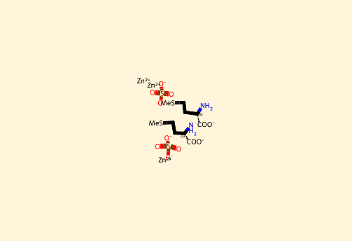 CSCC[C@H](N)C(=O)[O-].CSCC[C@H](N)C(=O)[O-].O=S(=O)([O-])[O-].O=S(=O)([O-])[O-].[Zn+2].[Zn+2].[Zn+2]